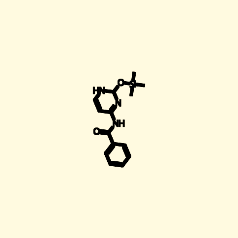 C[Si](C)(C)OC1N=C(NC(=O)c2ccccc2)C=CN1